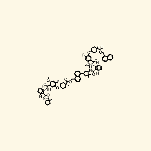 COc1cc(F)c(O[C@H]2CC[C@@](C)(C(=O)OCc3cccc4c(C5C[C@@H](NC(=O)[C@@H]6[C@H](NC(=O)c7cc(O[C@H]8CC[C@@](C)(C(=O)OCc9cccc%10ccccc9%10)CC8)c(F)cc7OC)[C@H]7C=C[C@@H]6C7)C(C)(C)C5)cccc34)CC2)cc1C(=O)N[C@H]1[C@@H](C(=O)N[C@H]2CCCC2(C)C)[C@@H]2C=C[C@H]1C2